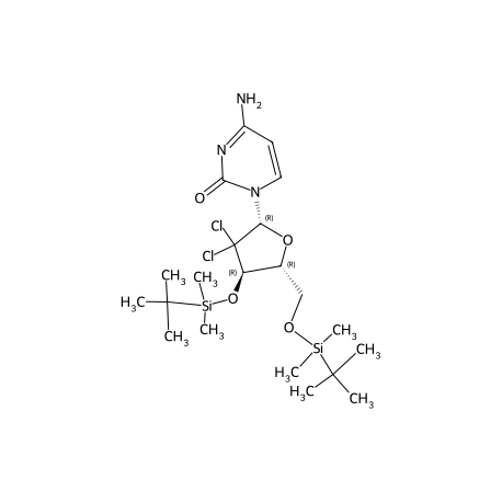 CC(C)(C)[Si](C)(C)OC[C@H]1O[C@@H](n2ccc(N)nc2=O)C(Cl)(Cl)[C@@H]1O[Si](C)(C)C(C)(C)C